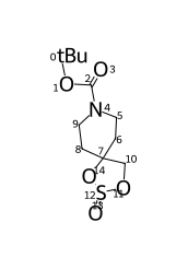 CC(C)(C)OC(=O)N1CCC2(CC1)COS(=O)O2